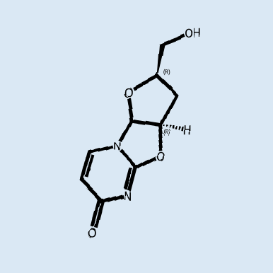 O=c1ccn2c(n1)O[C@@H]1C[C@H](CO)OC12